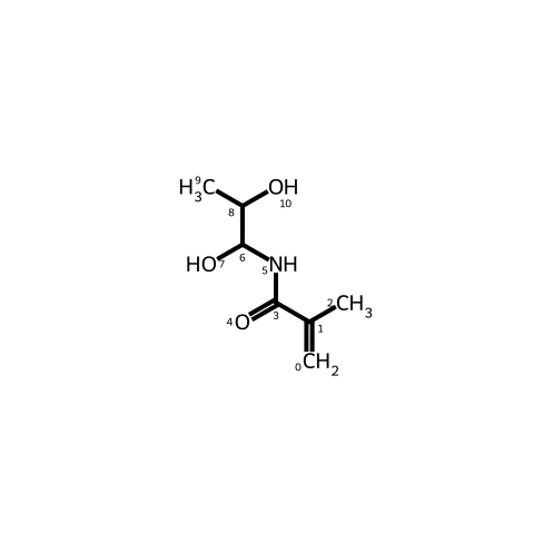 C=C(C)C(=O)NC(O)C(C)O